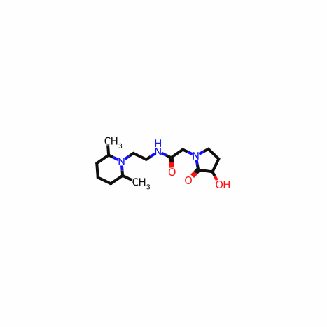 CC1CCCC(C)N1CCNC(=O)CN1CCC(O)C1=O